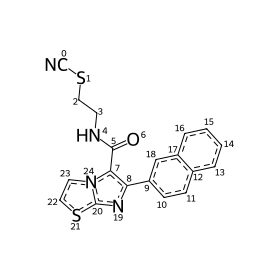 N#CSCCNC(=O)c1c(-c2ccc3ccccc3c2)nc2sccn12